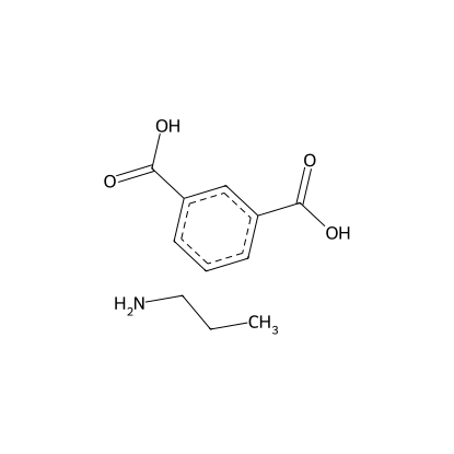 CCCN.O=C(O)c1cccc(C(=O)O)c1